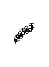 O=S(=O)(N[C@H]1CC[C@@](F)(S(=O)(=O)c2cccc(C(F)(F)F)c2)CC1)c1cccc(C(F)(F)F)c1